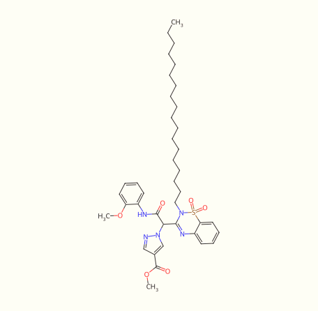 CCCCCCCCCCCCCCCCCCN1C(C(C(=O)Nc2ccccc2OC)n2cc(C(=O)OC)cn2)=Nc2ccccc2S1(=O)=O